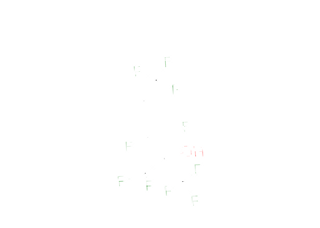 OC(CC(F)=CC(F)(F)F)(C(F)(F)F)C(F)(F)F